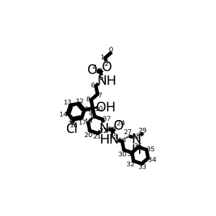 CCOC(=O)NCCC[C@@](O)(c1cccc(Cl)c1)[C@@H]1CCCN(C(=O)N[C@H](CNC)CC2CCCCC2)C1